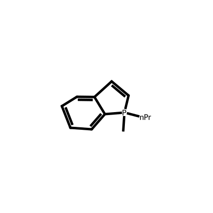 CCC[P]1(C)C=Cc2ccccc21